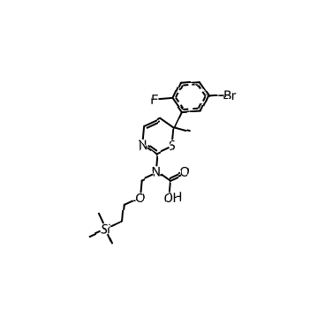 CC1(c2cc(Br)ccc2F)C=CN=C(N(COCC[Si](C)(C)C)C(=O)O)S1